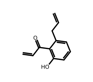 C=CCc1cccc(O)c1C(=O)C=C